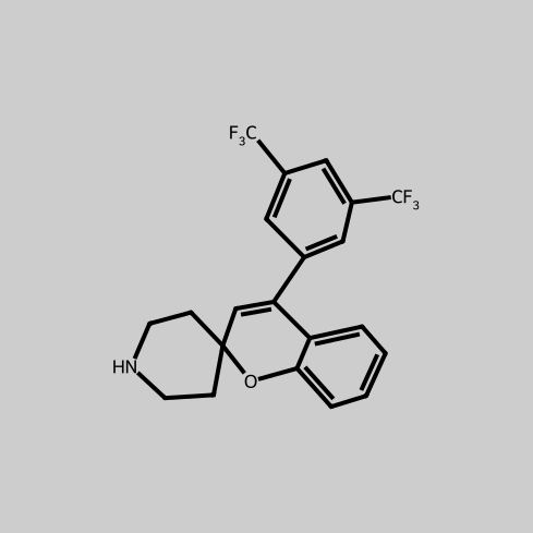 FC(F)(F)c1cc(C2=CC3(CCNCC3)Oc3ccccc32)cc(C(F)(F)F)c1